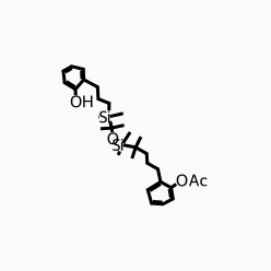 CC(=O)Oc1ccccc1CCCC(C)(C)[Si](C)(C)OC(C)(C)[Si](C)(C)CCCc1ccccc1O